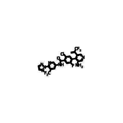 C=C(c1cncc(N)c1-c1cc(Cl)c(C(=O)Nc2cnc(-n3nccn3)c(C(F)(F)F)c2)cc1F)C(F)(F)F